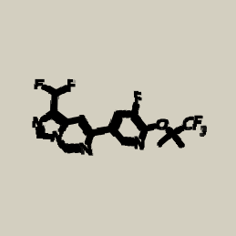 CC(C)(Oc1ncc(-c2cc3c(C(F)F)ncn3cn2)cc1F)C(F)(F)F